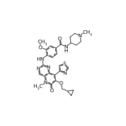 COc1cc(C(=O)NC2CCN(C)CC2)ccc1Nc1ncc2c(n1)c(-c1cscn1)c(OCC1CC1)c(=O)n2C